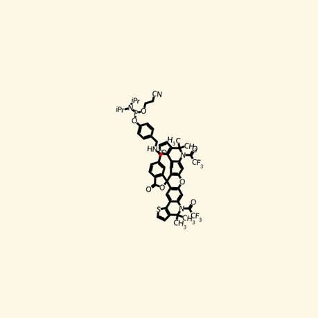 CC(C)N(C(C)C)P(OCCC#N)Oc1ccc(CNC(=O)c2ccc3c(c2)C2(OC3=O)c3cc4c(cc3Oc3cc5c(cc32)-c2sccc2C(C)(C)N5C(=O)C(F)(F)F)N(C(=O)C(F)(F)F)C(C)(C)c2ccsc2-4)cc1